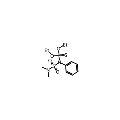 CCOP(=S)(OCC)N(c1ccccc1)S(=O)(=O)N(C)C